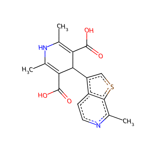 CC1=C(C(=O)O)C(c2csc3c(C)nccc23)C(C(=O)O)=C(C)N1